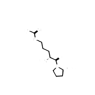 N=C(N)NCCC[C@H](N)C(=O)N1CCC[C@H]1[C]=O